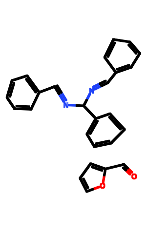 C(=NC(N=Cc1ccccc1)c1ccccc1)c1ccccc1.O=Cc1ccco1